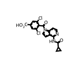 O=C(O)c1cc(Cl)c(C(=O)n2ccc3c(NC(=O)C4CC4)nccc32)c(Cl)c1